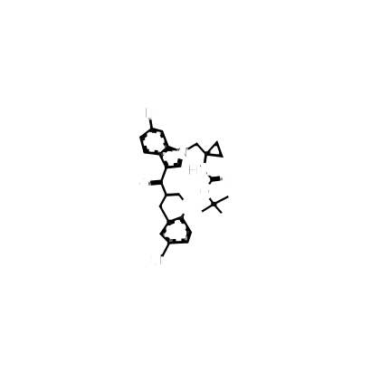 CC(C)(C)OC(=O)NC1(Cn2cc(C(=O)C3COc4ccc(Cl)cc4C3)c3ccc(Br)cc32)CC1